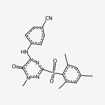 Cc1cc(C)c(S(=O)(=O)c2nc(Nc3ccc(C#N)cc3)c(=O)n(C)n2)c(C)c1